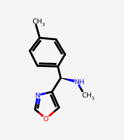 CN[C@H](c1ccc(C)cc1)c1cocn1